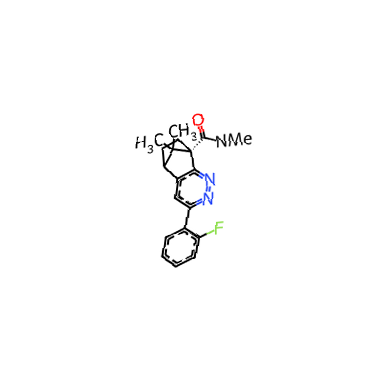 CNC(=O)[C@]12CCC(c3cc(-c4ccccc4F)nnc31)C2(C)C